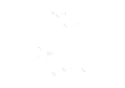 Cn1ncc(-c2ccc3cnc(NC(=O)c4ccnc(N5CC6(CCNCC6)C5)c4)cc3c2)c1CN1CCOCC1